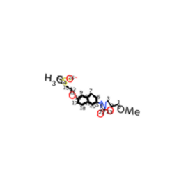 COCC1CN(c2ccc3cc(OCC[S+](C)[O-])ccc3c2)C(=O)O1